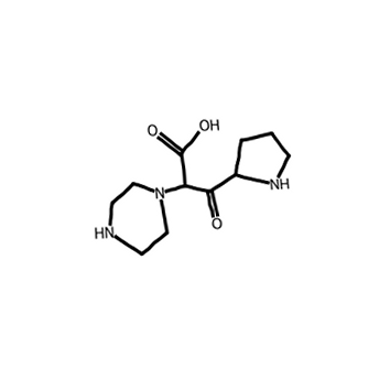 O=C(O)C(C(=O)C1CCCN1)N1CCNCC1